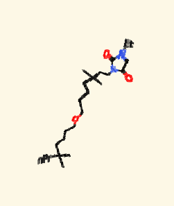 CCCC(C)(C)CCCCOCCCCC(C)(C)CCN1C(=O)CN(CC)C1=O